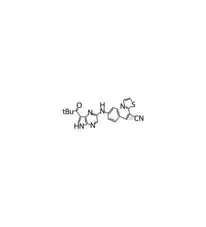 CC(C)(C)C(=O)c1c[nH]c2ncc(Nc3ccc(/C=C(/C#N)c4nccs4)cc3)nc12